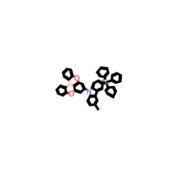 Cc1ccc2c(c1)c1cc([Si](c3ccccc3)(c3ccccc3)c3ccccc3)ccc1n2-c1cc2c3c(c1)Oc1ccccc1B3c1ccccc1O2